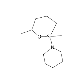 CC1CCC[Si](C)(N2CCCCC2)O1